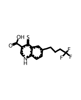 O=C(O)c1c[nH]c2ccc(CCCC(F)(F)F)cc2c1=S